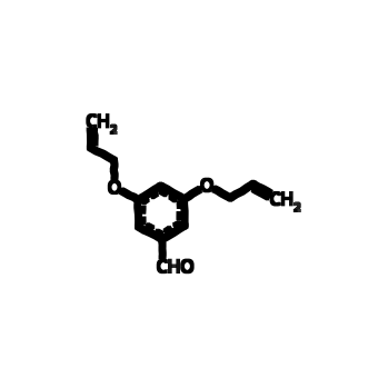 C=CCOc1cc(C=O)cc(OCC=C)c1